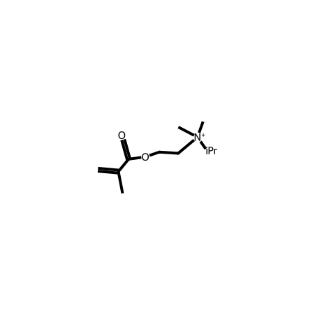 C=C(C)C(=O)OCC[N+](C)(C)C(C)C